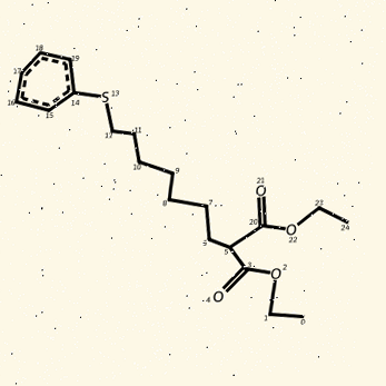 CCOC(=O)C(CCCCCCCSc1ccccc1)C(=O)OCC